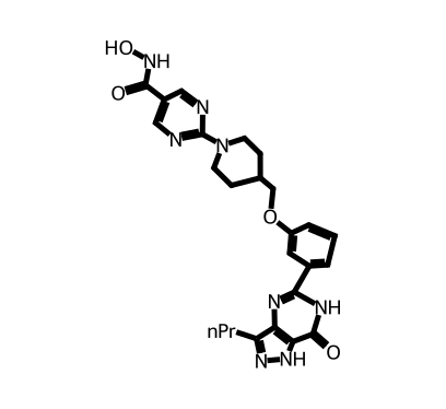 CCCc1n[nH]c2c(=O)[nH]c(-c3cccc(OCC4CCN(c5ncc(C(=O)NO)cn5)CC4)c3)nc12